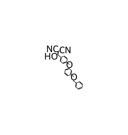 N#CC(C#N)=C(O)c1ccc(Oc2cccc(OCc3ccccc3)c2)cc1